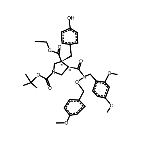 CCOC(=O)[C@@]1(Cc2ccc(O)cc2)CN(C(=O)OC(C)(C)C)C[C@@H]1C(=O)N(Cc1ccc(OC)cc1OC)OCc1ccc(OC)cc1